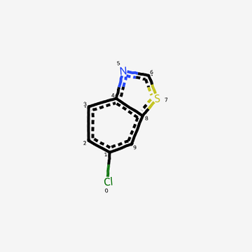 Clc1c[c]c2n[c]sc2c1